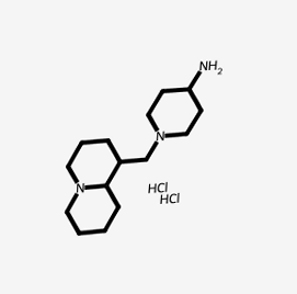 Cl.Cl.NC1CCN(CC2CCCN3CCCCC23)CC1